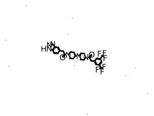 O=C(Cc1ccc2[nH]nnc2c1)N1CCC(N2CCN(C(=O)Cc3cc(C(F)(F)F)cc(C(F)(F)F)c3)CC2)CC1